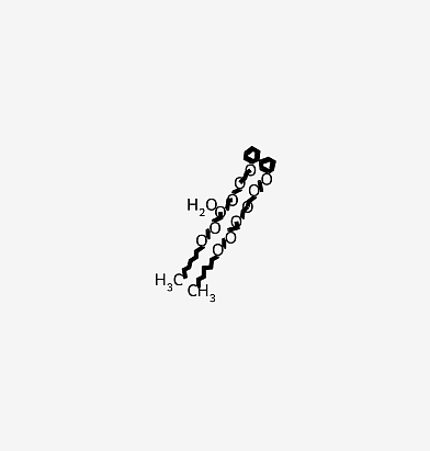 CCCCCCCCOCCOCCOCCOCCOCCOc1ccccc1.CCCCCCCCOCCOCCOCCOCCOCCOc1ccccc1.O